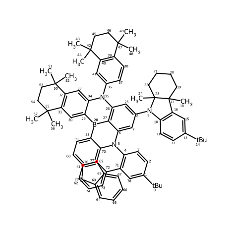 CC(C)(C)c1ccc(N2c3cc(N4c5ccc(C(C)(C)C)cc5C5(C)CCCCC45C)cc4c3B(c3cc5c(cc3N4c3ccc4c(c3)C(C)(C)CCC4(C)C)C(C)(C)CCC5(C)C)c3ccc4sc5ccccc5c4c32)c(-c2ccccc2)c1